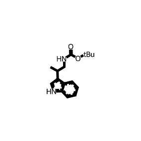 CC(CNC(=O)OC(C)(C)C)c1c[nH]c2ccccc12